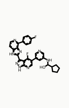 OC(Nc1cncc(-c2cnc3[nH]nc(-c4nc5c(-c6ccc(F)cc6)nccc5[nH]4)c3c2F)c1)C1CCCC1